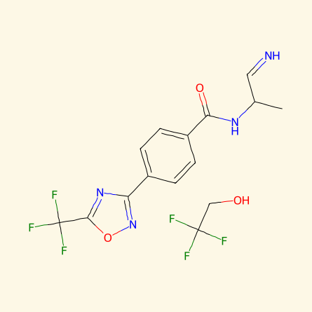 CC(C=N)NC(=O)c1ccc(-c2noc(C(F)(F)F)n2)cc1.OCC(F)(F)F